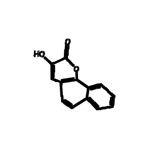 O=c1oc2c(ccc3ccccc32)cc1O